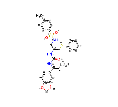 Cc1ccc(S(=O)(=O)NC[C@@H](CSc2ccccc2)NC(=O)N[C@@H](CC(=O)O)c2ccc3c(c2)OCO3)cc1